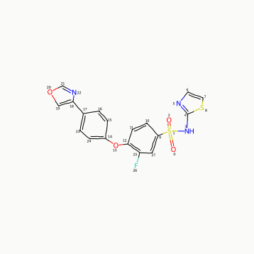 O=S(=O)(Nc1nccs1)c1ccc(Oc2ccc(-c3cocn3)cc2)c(F)c1